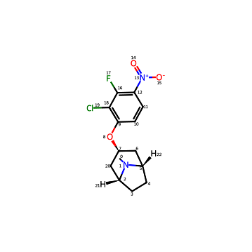 CN1[C@@H]2CC[C@H]1C[C@H](Oc1ccc([N+](=O)[O-])c(F)c1Cl)C2